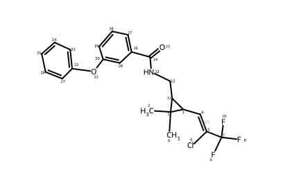 CC1(C)C(/C=C(\Cl)C(F)(F)F)C1CNC(=O)c1cccc(Oc2ccccc2)c1